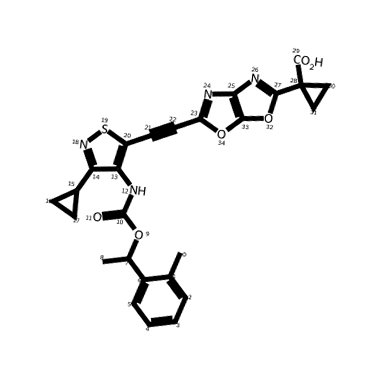 Cc1ccccc1C(C)OC(=O)Nc1c(C2CC2)nsc1C#Cc1nc2nc(C3(C(=O)O)CC3)oc2o1